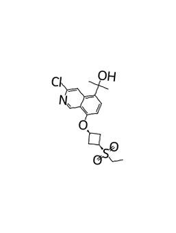 CCS(=O)(=O)[C@H]1C[C@@H](Oc2ccc(C(C)(C)O)c3cc(Cl)ncc23)C1